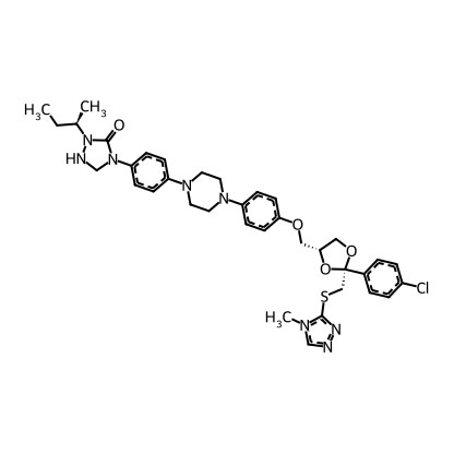 CC[C@@H](C)N1NCN(c2ccc(N3CCN(c4ccc(OC[C@@H]5CO[C@@](CSc6nncn6C)(c6ccc(Cl)cc6)O5)cc4)CC3)cc2)C1=O